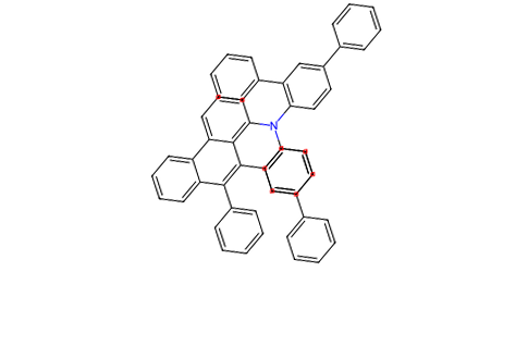 c1ccc(-c2ccc(N(c3ccc(-c4ccccc4)cc3-c3ccccc3)c3cccc4c3c(-c3ccccc3)c(-c3ccccc3)c3ccccc34)cc2)cc1